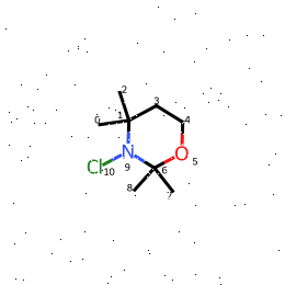 CC1(C)CCOC(C)(C)N1Cl